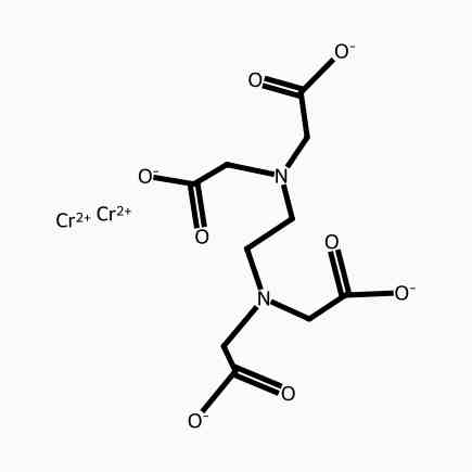 O=C([O-])CN(CCN(CC(=O)[O-])CC(=O)[O-])CC(=O)[O-].[Cr+2].[Cr+2]